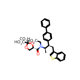 C[C@H]([C@H](Cc1csc2ccccc12)c1ccc(-c2ccccc2)cc1)N(CC(=O)O)C(=O)[C@@H]1COC(C(=O)O)(C(=O)O)O1